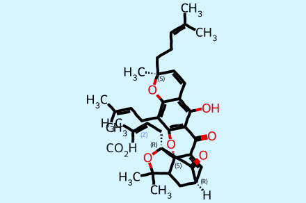 CC(C)=CCC[C@@]1(C)C=Cc2c(O)c3c(c(CC=C(C)C)c2O1)O[C@]12C(=C[C@H]4CC1C(C)(C)O[C@@]2(C/C=C(/C)C(=O)O)C4=O)C3=O